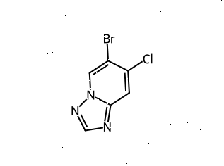 Clc1cc2ncnn2cc1Br